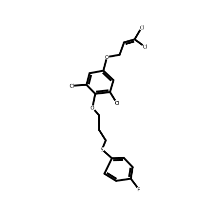 Fc1ccc(SCCCOc2c(Cl)cc(OCC=C(Cl)Cl)cc2Cl)cc1